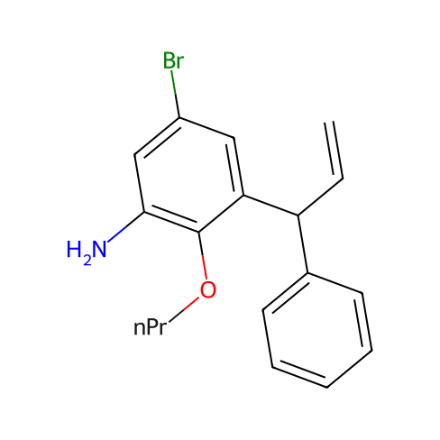 C=CC(c1ccccc1)c1cc(Br)cc(N)c1OCCC